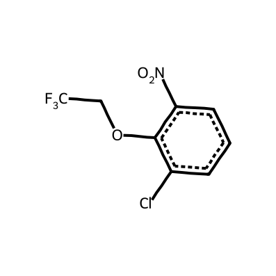 O=[N+]([O-])c1cccc(Cl)c1OCC(F)(F)F